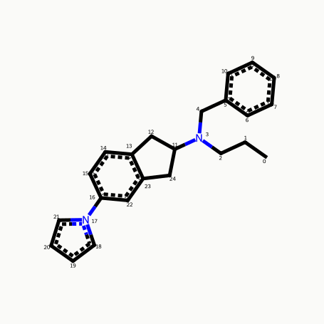 CCCN(Cc1ccccc1)C1Cc2ccc(-n3cccc3)cc2C1